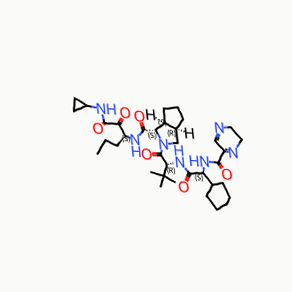 CCC[C@H](NC(=O)[C@@H]1[C@H]2CCC[C@H]2CN1C(=O)[C@H](NC(=O)[C@@H](NC(=O)C1=NCCN=C1)C1CCCCC1)C(C)(C)C)C(=O)C(=O)NC1CC1